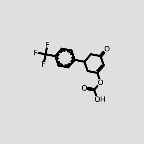 O=C1C=C(OC(=O)O)CC(c2ccc(C(F)(F)F)cc2)C1